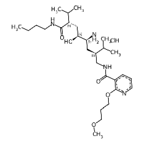 CCCCNC(=O)[C@@H](C[C@H](O)[C@@H](N)C[C@H](CNC(=O)c1cccnc1OCCCOC)C(C)C)C(C)C.Cl